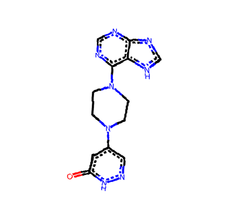 O=c1cc(N2CCN(c3ncnc4nc[nH]c34)CC2)cn[nH]1